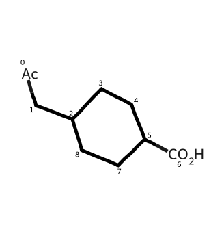 CC(=O)CC1CCC(C(=O)O)CC1